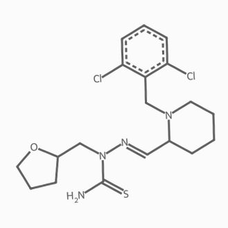 NC(=S)N(CC1CCCO1)N=CC1CCCCN1Cc1c(Cl)cccc1Cl